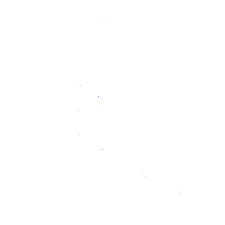 CCCNc1nc(NCCc2ccncc2)ncc1C(=O)Nc1cccc(NC(=O)C(C)(C)N)c1